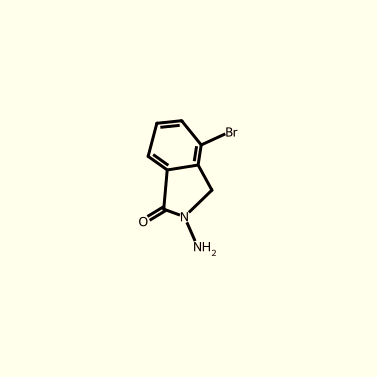 NN1Cc2c(Br)cccc2C1=O